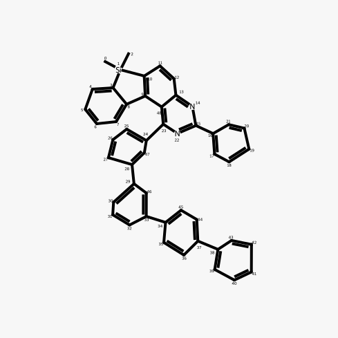 C[Si]1(C)c2ccccc2-c2c1ccc1nc(-c3ccccc3)nc(-c3cccc(-c4cccc(-c5ccc(-c6ccccc6)cc5)c4)c3)c21